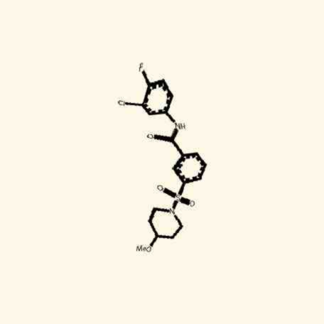 COC1CCN(S(=O)(=O)c2cccc(C(=O)Nc3ccc(F)c(Cl)c3)c2)CC1